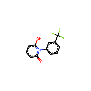 O=c1cccc(O)n1-c1cccc(C(F)(F)F)c1